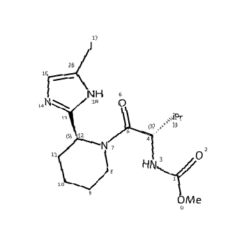 COC(=O)N[C@H](C(=O)N1CCCC[C@H]1c1ncc(I)[nH]1)C(C)C